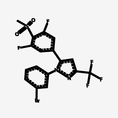 CS(=O)(=O)c1c(F)cc(-c2cc(C(F)(F)F)nn2-c2cccc(Br)c2)cc1F